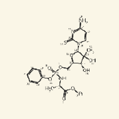 CC(C)OC(=O)[C@H](C)NP(=O)(OC[C@H]1O[C@@H](n2ccc(N)nc2=S)C(O)(C(F)(F)F)[C@H]1O)Oc1ccccc1